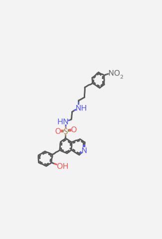 O=[N+]([O-])c1ccc(CCCNCCNS(=O)(=O)c2cc(-c3ccccc3O)cc3cnccc23)cc1